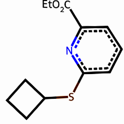 CCOC(=O)c1cccc(SC2CCC2)n1